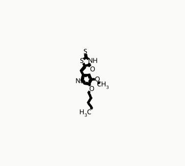 CCCCCOc1ccc(C=C2SC(=S)NC2=O)cc1OC.[Na]